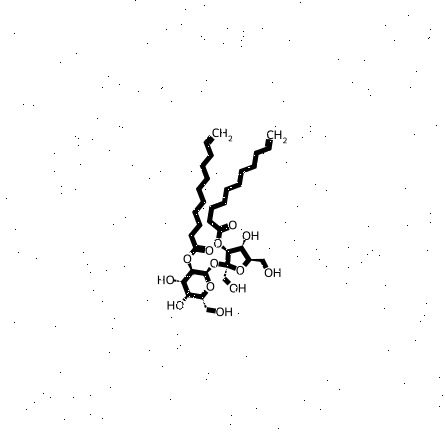 C=CCCCCCCCCC(=O)O[C@H]1[C@@H](O[C@]2(CO)O[C@H](CO)[C@@H](O)[C@@H]2OC(=O)CCCCCCCCC=C)O[C@H](CO)[C@@H](O)[C@@H]1O